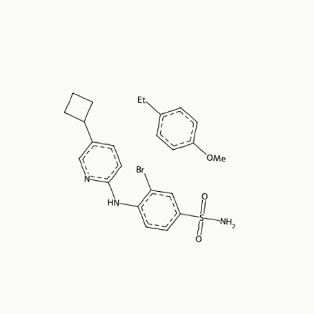 CCc1ccc(OC)cc1.NS(=O)(=O)c1ccc(Nc2ccc(C3CCC3)cn2)c(Br)c1